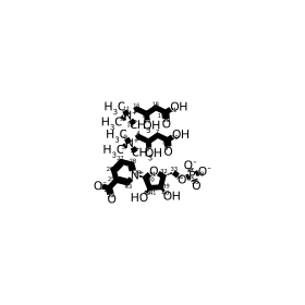 C[N+](C)(C)CC(O)CC(=O)O.C[N+](C)(C)CC(O)CC(=O)O.O=C([O-])c1ccc[n+]([C@@H]2O[C@H](COP(=O)([O-])[O-])[C@@H](O)[C@H]2O)c1